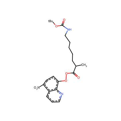 CC(CCCCCNC(=O)OC(C)(C)C)C(=O)OOc1ccc([N+](=O)[O-])c2cccnc12